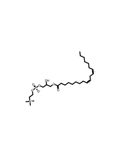 CCCCCC/C=C\C/C=C\CCCCCCCC(=O)OCC(O)COP(=O)([O-])OCC[N+](C)(C)C